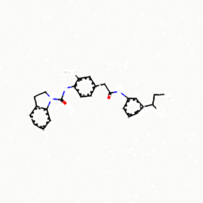 COc1cc(CC(=O)Nc2cccc(C(C)CC(=O)O)c2)ccc1NC(=O)N1CCc2ccccc21